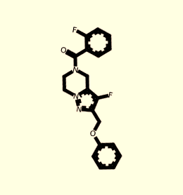 O=C(c1ccccc1F)N1CCn2nc(COc3ccccc3)c(F)c2C1